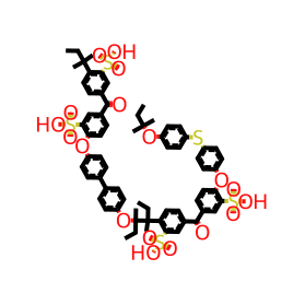 CCC(C)(C)Oc1ccc(Sc2ccc(Oc3ccc(C(=O)c4ccc(C(C)(CC)C(C)(CC)Oc5ccc(-c6ccc(Oc7ccc(C(=O)c8ccc(C(C)(C)CC)c(S(=O)(=O)O)c8)cc7S(=O)(=O)O)cc6)cc5)c(S(=O)(=O)O)c4)cc3S(=O)(=O)O)cc2)cc1